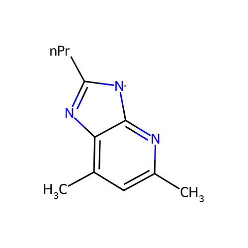 CCCC1=Nc2c(C)cc(C)nc2[N]1